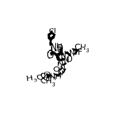 CC1(F)CN(C(=O)Cn2c(=O)c(C(=O)NCc3ccc(Cl)cc3)cc3nc(N4CCN(CCNC(=O)OC(C)(C)C)C4=O)cnc32)C1